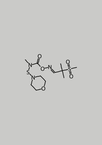 CN(SN1CCOCC1)C(=O)ON=CC(C)(C)S(C)(=O)=O